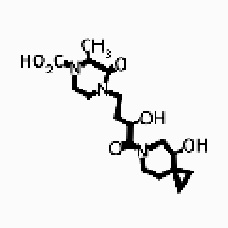 C[C@H]1C(=O)N(CC[C@@H](O)C(=O)N2CCC3(CC3)[C@H](O)C2)CCN1C(=O)O